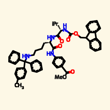 COC(=O)c1ccc(NC(=O)[C@H](CCCCNC(c2ccccc2)(c2ccccc2)c2ccc(C)cc2)NC(=O)[C@@H](NC(=O)OCC2c3ccccc3-c3ccccc32)C(C)C)cc1